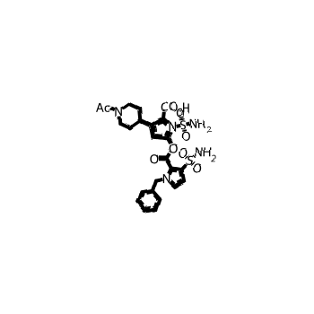 CC(=O)N1CCC(c2cc(OC(=O)c3c(S(N)(=O)=O)ccn3Cc3ccccc3)n(S(N)(=O)=O)c2C(=O)O)CC1